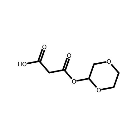 O=C(O)CC(=O)OC1COCCO1